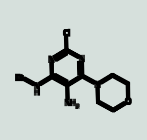 CCNc1nc(Cl)nc(N2CCOCC2)c1N